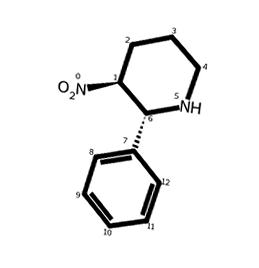 O=[N+]([O-])[C@H]1CCCN[C@@H]1c1ccccc1